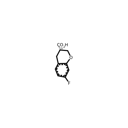 O=C(O)[C@@H]1COc2cc(F)ccc2C1